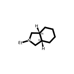 [CH2]CN1C[C@H]2CCCC[C@H]2C1